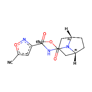 CC(C)(C)OC(=O)N1[C@@H]2CC[C@H]1CC(NC(=O)c1cc(C#N)on1)C2